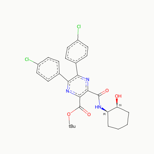 CC(C)(C)OC(=O)c1nc(-c2ccc(Cl)cc2)c(-c2ccc(Cl)cc2)nc1C(=O)N[C@@H]1CCCC[C@@H]1O